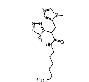 C[SH]1C=NN=C1CC(C(=O)NCCCCCC(=O)O)C1=NN=C[SH]1C